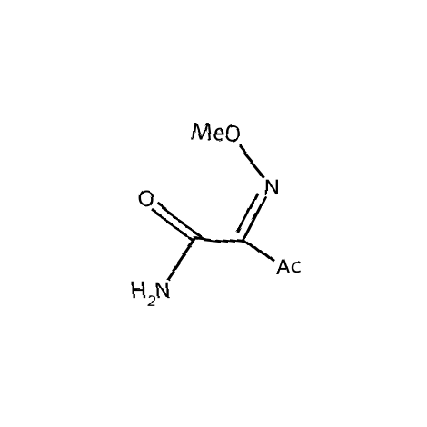 CON=C(C(C)=O)C(N)=O